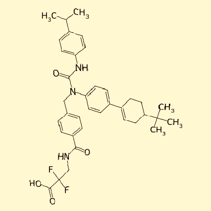 CC(C)c1ccc(NC(=O)N(Cc2ccc(C(=O)NCC(F)(F)C(=O)O)cc2)c2ccc(C3=CCC(C(C)(C)C)CC3)cc2)cc1